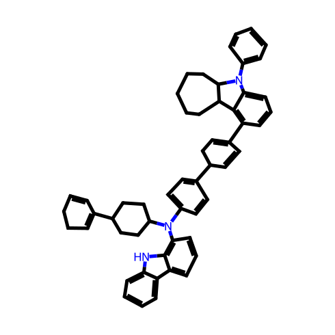 C1=CC(C2CCC(N(c3ccc(C4C=CC(c5cccc6c5C5CCCCCC5N6c5ccccc5)=CC4)cc3)c3cccc4c3[nH]c3ccccc34)CC2)=CCC1